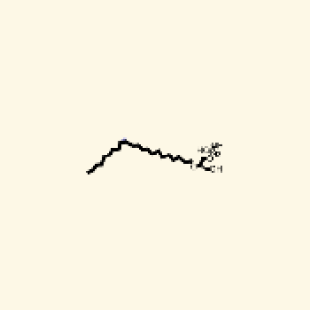 CCCCCCCC/C=C\CCCCCCCCCCCCO[C@H](CO)COP(=O)(O)O